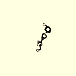 ClCc1nc(C2C3CN(c4cccc(Cl)c4)CC32)no1